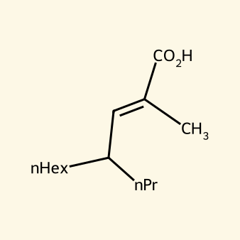 CCCCCCC(C=C(C)C(=O)O)CCC